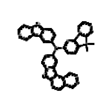 CC1(C)c2ccccc2-c2cc(N(c3ccc4oc5ccccc5c4c3)c3ccc4oc5ccc6ccccc6c5c4c3)ccc21